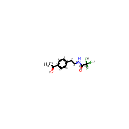 CC(=O)c1ccc(CCNC(=O)C(F)(F)F)cc1